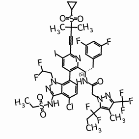 CCC(F)(F)c1c(C)c(C(F)(F)F)nn1CC(=O)N[C@@H](Cc1cc(F)cc(F)c1)c1nc(C#CC(C)(C)S(=O)(=O)C2CC2)c(I)cc1-c1ccc(Cl)c2c(NS(=O)(=O)CC)nn(CC(F)F)c12